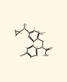 CCN(c1ccc(CN(C(=O)C(C)(C)C)c2ccc(F)cc2)cn1)C1CC1.Cl